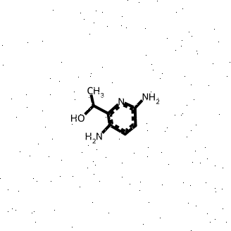 CC(O)c1nc(N)ccc1N